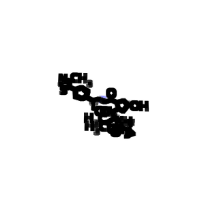 CC[C@H](/C=C/C(=O)C1C[C@@H](O)CC1C(=O)[C@@H](NC(=O)C1(F)CC1)C(C)(C)C)c1ccc(-c2scnc2C)cc1